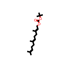 CC(C)=CCC/C(C)=C/CC/C(C)=C/COC(=O)OC(C)(C)C